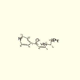 CC(C)CN/C=C\C(=O)c1ccncc1